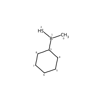 CB(S)C1CCCCC1